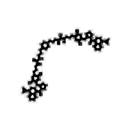 O=C(NCCCc1cc(Cl)c(CN2CCC[C@H]2C(=O)N2CCN(C3CC3)c3ccccc32)cc1Cl)NCCCN1CCN(CCCNC(=O)NCCCc2cc(Cl)c(CN3CCC[C@H]3C(=O)N3CCN(C4CC4)c4ccccc43)cc2Cl)CC1